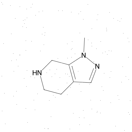 Cn1ncc2c1CNCC2